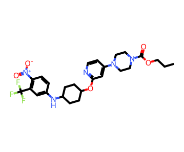 CCCOC(=O)N1CCN(c2ccnc(OC3CCC(Nc4ccc([N+](=O)[O-])c(C(F)(F)F)c4)CC3)c2)CC1